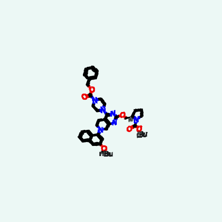 CCCCOc1cc(N2CCc3c(nc(OC[C@@H]4CCCN4C(=O)OC(C)(C)C)nc3N3CCN(C(=O)OCc4ccccc4)CC3)C2)c2ccccc2c1